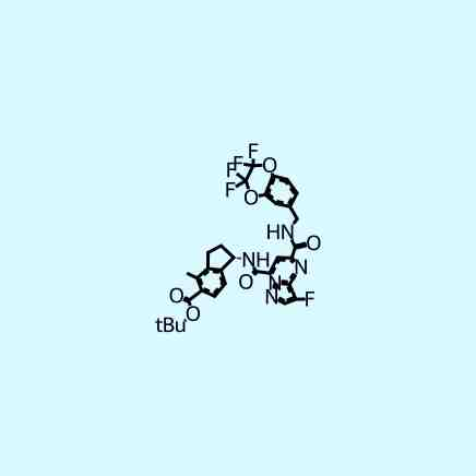 Cc1c(C(=O)OC(C)(C)C)ccc2c1CC[C@@H]2NC(=O)c1cc(C(=O)NCc2ccc3c(c2)OC(F)(F)C(F)(F)O3)nc2c(F)cnn12